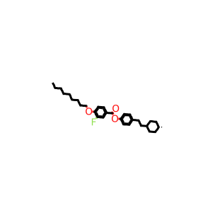 CCCCCCCCCOc1ccc(C(=O)Oc2ccc(CCC3CC[CH]CC3)cc2)cc1F